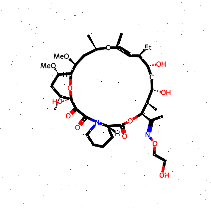 CC[C@@H]1/C=C(\C)C[C@H](C)C[C@H](OC)[C@H]2O[C@@](O)(C(=O)C(=O)N3CCCC[C@H]3C(=O)O[C@H](/C(C)=N/OCCO)[C@H](C)[C@@H](O)C[C@H]1O)[C@H](C)C[C@@H]2OC